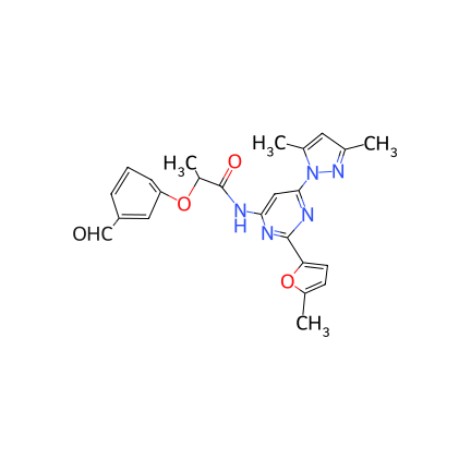 Cc1cc(C)n(-c2cc(NC(=O)C(C)Oc3cccc(C=O)c3)nc(-c3ccc(C)o3)n2)n1